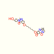 COc1cc2c(cc1OCCCCCCCCCOc1ccc3nc(C)n(-c4ccc(CO)cc4)c(=O)c3c1)N=C[C@@H]1CCCN1C2=O